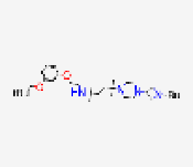 CCC(C)N1CC(N2CCN(C(C)(C)CCC(C)(C)NCCOc3cccc(OCC(C)(C)C)c3)CC2)C1